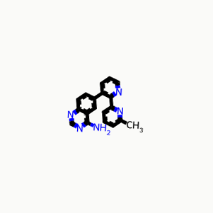 Cc1cccc(-c2ncccc2-c2ccc3ncnc(N)c3c2)n1